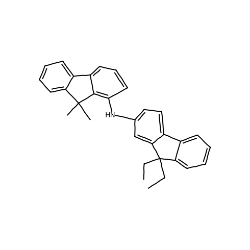 CCC1(CC)c2ccccc2-c2ccc(Nc3cccc4c3C(C)(C)c3ccccc3-4)cc21